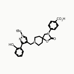 CC(C)(C)n1cc(CN2CCC3(CC2)CN(c2ccc(C(=O)O)cc2)C(=O)O3)c(-c2ccccc2O)n1